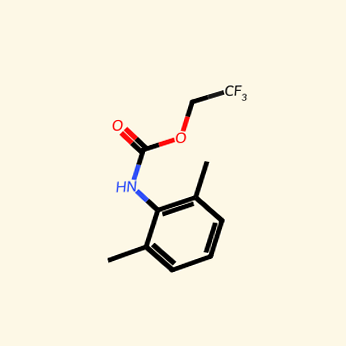 Cc1cccc(C)c1NC(=O)OCC(F)(F)F